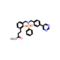 COC(=O)CCc1cccc(CN(Cc2ccc(-c3cncnc3)cc2)S(=O)(=O)c2ccccc2)c1